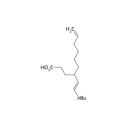 C=CCCCCC(C=CCCCC)CCC(=O)O